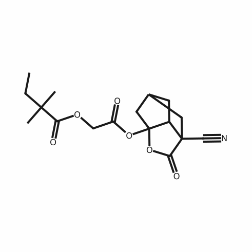 CCC(C)(C)C(=O)OCC(=O)OC12CC3CC1C(C#N)(C3)C(=O)O2